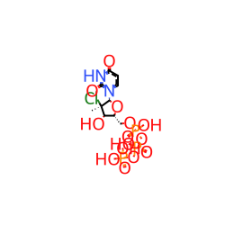 C[C@@]1(Cl)[C@H](O)[C@@H](COP(=O)(O)OP(=O)(O)OP(=O)(O)O)O[C@H]1n1ccc(=O)[nH]c1=O